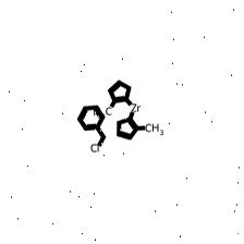 CC1=[C]([Zr][C]2=C(C)C=CC2)CC=C1.ClCc1ccccc1